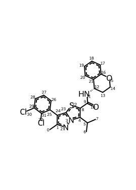 Cc1nn2c(C(C)C)c(C(=O)N[C@H]3CCOc4ccccc43)sc2c1-c1cccc(Cl)c1Cl